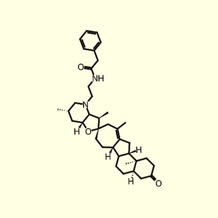 CC1=C2C[C@H]3C(CC[C@@H]4CC(=O)CC[C@@]43C)[C@@H]2CC[C@@]2(C1)O[C@@H]1C[C@H](C)CN(CCNC(=O)Cc3ccccc3)C1[C@H]2C